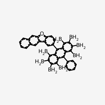 Bc1c(B)c(B)c2c(-c3ccc4oc5cc6ccccc6cc5c4c3)c3c(B)c(B)c(B)c(B)c3c(-c3ccccc3)c2c1B